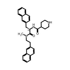 CN(CCc1ccc2ccccc2c1)C(=O)[C@@H](Cc1ccc2ccccc2c1)NC(=O)C1CCNCC1